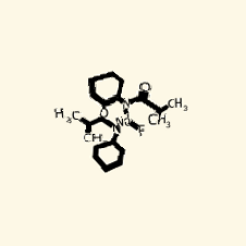 CC(C)C(=O)[N](C1CCCCC1)[Nd]([F])[N](C(=O)C(C)C)C1CCCCC1